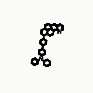 C1=CC(c2ccc(-c3ccc(N(c4ccccc4)c4ccccc4)cc3)cc2)C2C=Cc3c4ncccc4cc4ccc1c2c34